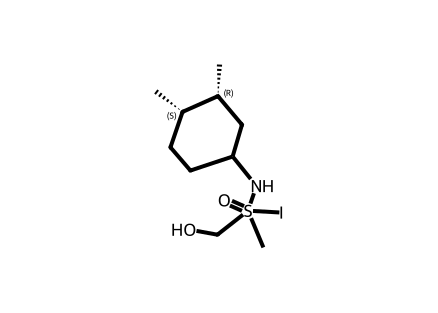 C[C@@H]1CC(NS(C)(=O)(I)CO)CC[C@@H]1C